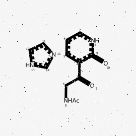 CC(=O)NCC(=O)c1ccc[nH]c1=O.c1c[nH]cn1